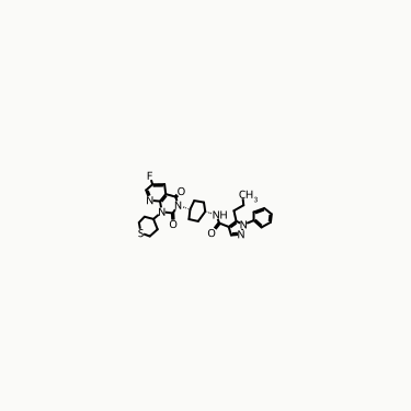 CCCc1c(C(=O)N[C@H]2CC[C@@H](n3c(=O)c4cc(F)cnc4n(C4CCSCC4)c3=O)CC2)cnn1-c1ccccc1